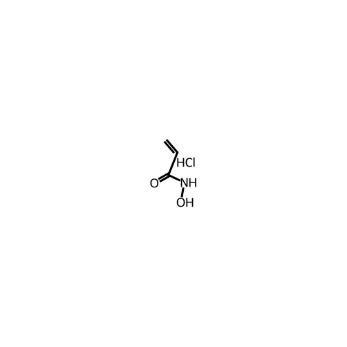 C=CC(=O)NO.Cl